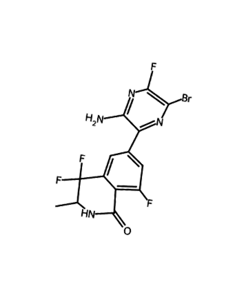 CC1NC(=O)c2c(F)cc(-c3nc(Br)c(F)nc3N)cc2C1(F)F